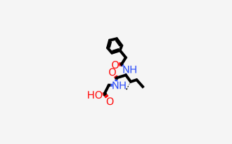 CC[C@H](C)[C@H](NC(=O)Cc1ccccc1)C(=O)NCC(=O)O